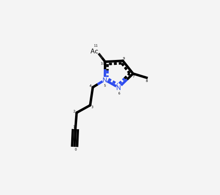 C#CCCCn1nc(C)cc1C(C)=O